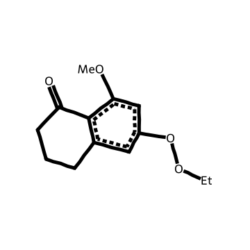 CCOOc1cc2c(c(OC)c1)C(=O)CCC2